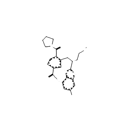 CSCC[C@H](Cc1cc(C(N)=O)ccc1C(=O)N1CCCC1)c1nc2cc(Cl)ccc2[nH]1